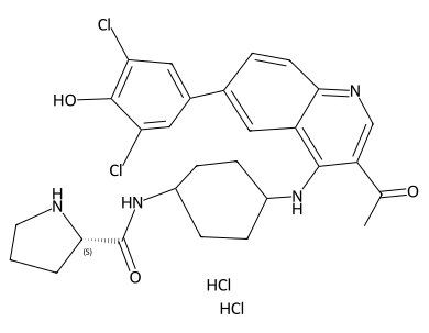 CC(=O)c1cnc2ccc(-c3cc(Cl)c(O)c(Cl)c3)cc2c1NC1CCC(NC(=O)[C@@H]2CCCN2)CC1.Cl.Cl